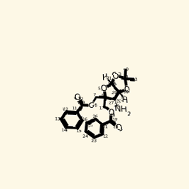 CC1(C)O[C@H]2OC(COC(=O)c3ccccc3)(COC(=O)c3ccccc3)[C@@H](N)[C@H]2O1